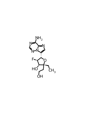 CC[C@]1(CCO)O[C@@H](c2cnc3c(N)ncnn23)[C@H](F)[C@@H]1O